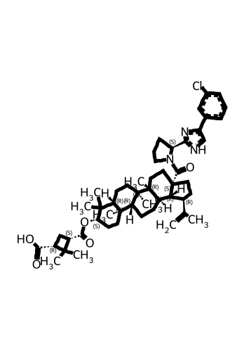 C=C(C)[C@@H]1CC[C@]2(C(=O)N3CCC[C@H]3c3nc(-c4cccc(Cl)c4)c[nH]3)CC[C@]3(C)[C@H](CC[C@@H]4[C@@]5(C)CC[C@H](OC(=O)[C@H]6C[C@@H](C(=O)O)C6(C)C)C(C)(C)[C@@H]5CC[C@]43C)[C@@H]12